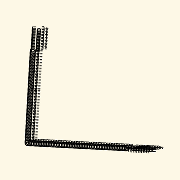 [Fe+3].[Fe+3].[Fe+3].[Fe+3].[Fe+3].[Fe+3].[Fe+3].[Fe+3].[Fe+3].[Fe+3].[Fe+3].[Fe+3].[Fe+3].[Fe+3].[Fe+3].[Fe+3].[Fe+3].[Fe+3].[Fe+3].[Fe+3].[Fe+3].[Fe+3].[Fe+3].[Fe+3].[Fe+3].[Fe+3].[Fe+3].[Fe+3].[O-2].[O-2].[O-2].[O-2].[O-2].[O-2].[O-2].[O-2].[O-2].[O-2].[O-2].[O-2].[O-2].[O-2].[O-2].[O-2].[O-2].[O-2].[O-2].[O-2].[O-2].[O-2].[O-2].[O-2].[O-2].[O-2].[O-2].[O-2].[O-2].[O-2].[O-2].[O-2].[O-2].[O-2].[O-2].[O-2].[O-2].[O-2].[O-2].[O-2].[O-2].[O-2].[O-2].[O-2].[O-2].[O-2].[O-2].[O-2].[O-2].[O-2].[O-2].[O-2].[O-2].[O-2].[O-2].[O-2].[O-2].[O-2].[O-2].[O-2].[O-2].[O-2].[O-2].[O-2].[O-2].[O-2].[O-2].[O-2].[O-2].[O-2].[O-2].[O-2].[O-2].[O-2].[O-2].[O-2].[O-2].[O-2].[O-2].[O-2].[O-2].[O-2].[O-2].[O-2].[O-2].[O-2].[O-2].[O-2].[O-2].[O-2].[O-2].[O-2].[O-2].[O-2].[O-2].[O-2].[O-2].[O-2].[O-2].[O-2].[O-2].[O-2].[O-2].[O-2].[O-2].[O-2].[O-2].[O-2].[O-2].[O-2].[O-2].[O-2].[O-2].[O-2].[O-2].[O-2].[O-2].[O-2].[O-2].[O-2].[O-2]